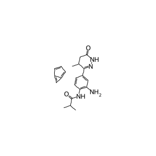 CC(C)C(=O)Nc1ccc(C2=NNC(=O)CC2C)cc1N.c1cc2cc-2c1